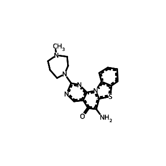 CN1CCCN(c2ncc3c(=O)c(N)c4sc5ccccc5n4c3n2)CC1